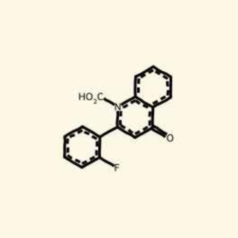 O=C(O)n1c(-c2ccccc2F)cc(=O)c2ccccc21